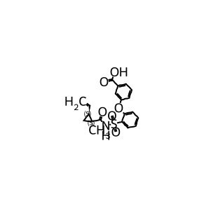 C=C[C@@H]1C[C@]1(C)C(=O)NS(=O)(=O)c1ccccc1Oc1cccc(C(=O)O)c1